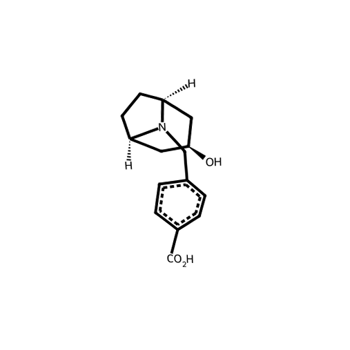 O=C(O)c1ccc(CN2[C@@H]3CC[C@H]2C[C@@H](O)C3)cc1